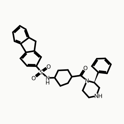 O=C(C1CCC(NS(=O)(=O)c2ccc3c(c2)Cc2ccccc2-3)CC1)N1CCNC[C@@H]1c1ccccc1